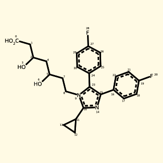 O=C(O)CC(O)CC(O)CCn1c(C2CC2)nc(-c2ccc(F)cc2)c1-c1ccc(F)cc1